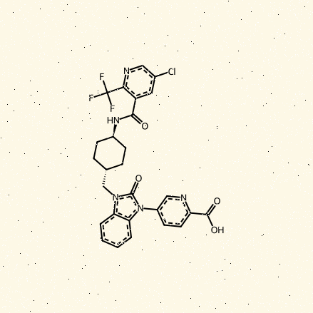 O=C(O)c1ccc(-n2c(=O)n(C[C@H]3CC[C@H](NC(=O)c4cc(Cl)cnc4C(F)(F)F)CC3)c3ccccc32)cn1